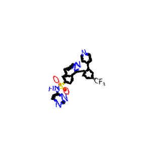 O=S(=O)(Nc1ccncn1)c1ccc2c(-c3ccc(C(F)(F)F)cc3-c3ccncc3)nccc2c1